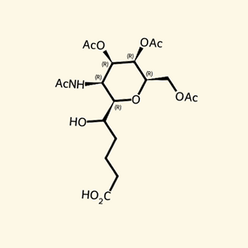 CC(=O)N[C@H]1[C@@H](OC(C)=O)[C@@H](OC(C)=O)[C@@H](COC(C)=O)O[C@H]1C(O)CCCC(=O)O